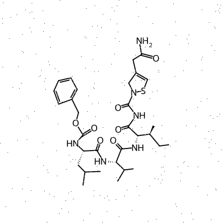 CC[C@H](C)[C@H](NC(=O)[C@@H](NC(=O)[C@H](CC(C)C)NC(=O)OCc1ccccc1)C(C)C)C(=O)NC(=O)N1CC(CC(N)=O)=CS1